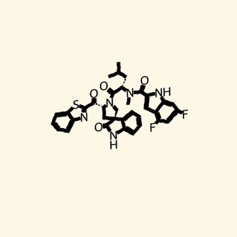 CC(C)C[C@@H](C(=O)N1C[C@]2(C[C@@H]1C(=O)c1nc3ccccc3s1)C(=O)Nc1ccccc12)N(C)C(=O)c1cc2c(F)cc(F)cc2[nH]1